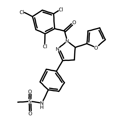 CS(=O)(=O)Nc1ccc(C2=NN(C(=O)c3c(Cl)cc(Cl)cc3Cl)C(c3ccco3)C2)cc1